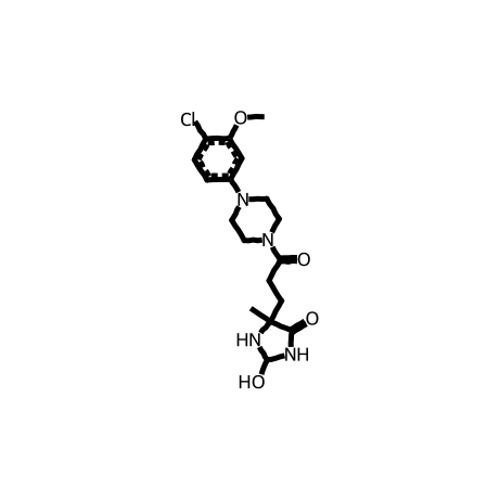 COc1cc(N2CCN(C(=O)CCC3(C)NC(O)NC3=O)CC2)ccc1Cl